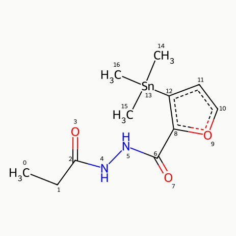 CCC(=O)NNC(=O)c1occ[c]1[Sn]([CH3])([CH3])[CH3]